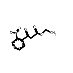 CCOC(=O)CC(=O)c1ccncc1[N+](=O)[O-]